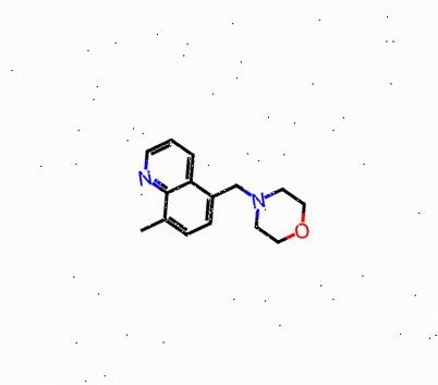 Cc1ccc(CN2CCOCC2)c2cccnc12